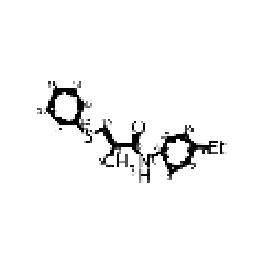 CCc1ccc(NC(=O)/C(C)=C/Sc2ccccc2)cc1